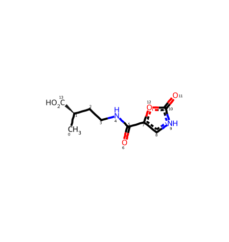 C[C@H](CCNC(=O)c1c[nH]c(=O)o1)C(=O)O